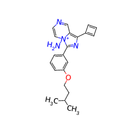 CC(C)CCOc1cccc(C2=NC(C3=CC=C3)=C3C=NC=C[N+]23N)c1